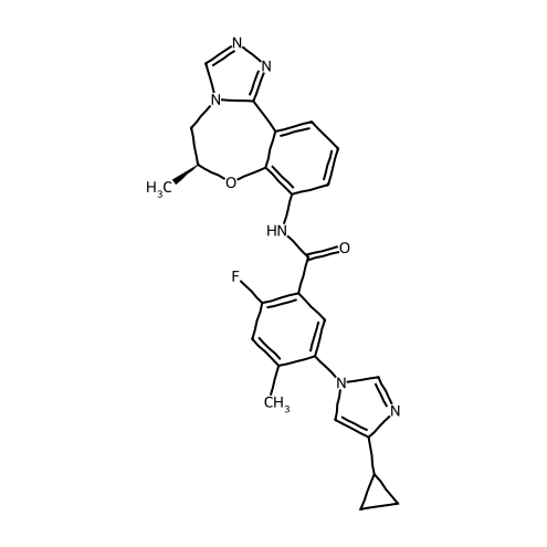 Cc1cc(F)c(C(=O)Nc2cccc3c2O[C@@H](C)Cn2cnnc2-3)cc1-n1cnc(C2CC2)c1